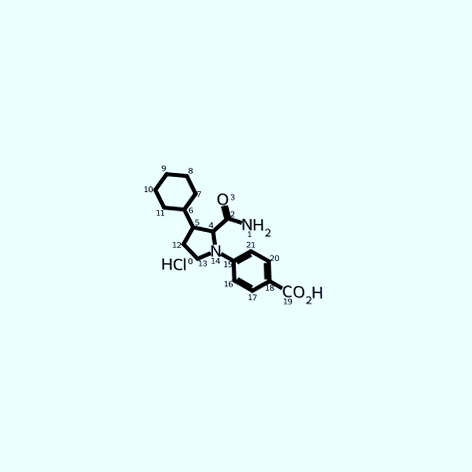 Cl.NC(=O)C1C(C2CCCCC2)CCN1c1ccc(C(=O)O)cc1